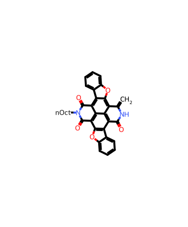 C=c1[nH]c(=O)c2c3c(oc4ccccc43)c3c4c(c5c6ccccc6oc5c1c42)C(=O)N(CCCCCCCC)C3=O